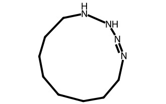 C1CCCCNNN=NCCC1